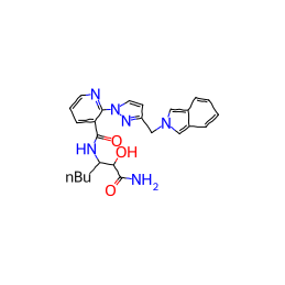 CCCCC(NC(=O)c1cccnc1-n1ccc(Cn2cc3ccccc3c2)n1)C(O)C(N)=O